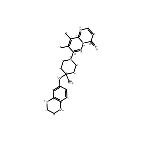 BC1(Oc2ccc3c(c2)OCCO3)CCN(c2nn3c(=O)ccnc3c(C)c2C)CC1